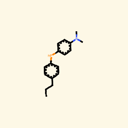 CCCc1ccc(Pc2ccc(N(C)C)cc2)cc1